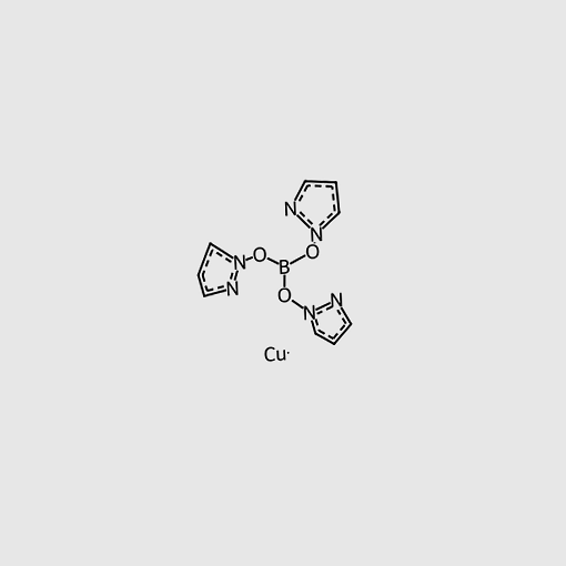 [Cu].c1cnn(OB(On2cccn2)On2cccn2)c1